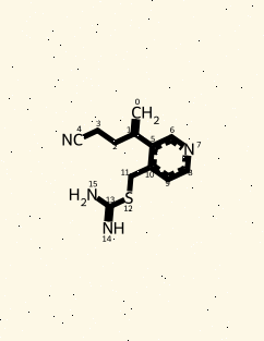 C=C(CCC#N)c1cnccc1CSC(=N)N